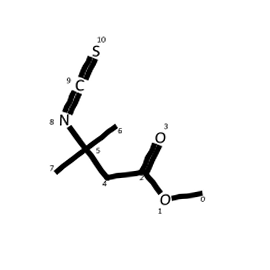 COC(=O)CC(C)(C)N=C=S